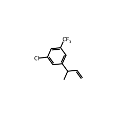 C=C[C](C)c1cc(Cl)cc(C(F)(F)F)c1